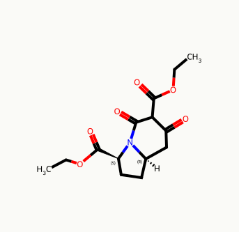 CCOC(=O)C1C(=O)C[C@H]2CC[C@@H](C(=O)OCC)N2C1=O